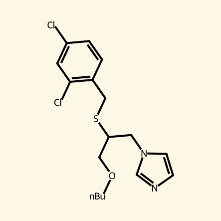 CCCCOCC(Cn1ccnc1)SCc1ccc(Cl)cc1Cl